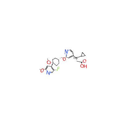 COc1cc([C@]2(OC)CC[C@@H](COc3cc([C@@H](CC(=O)O)C4CC4)ccn3)CC2)c(F)cn1